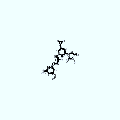 COc1cc(Cl)nc(OCc2cn3cc(C4CC4)cc(N4CC(=O)N(C)C4=O)c3n2)c1